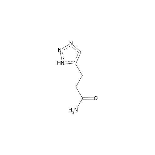 NC(=O)CCc1cnn[nH]1